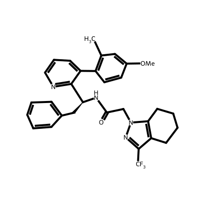 COc1ccc(-c2cccnc2[C@H](Cc2ccccc2)NC(=O)Cn2nc(C(F)(F)F)c3c2CCCC3)c(C)c1